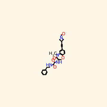 CN1C(=O)[C@@H](NC(=O)C(=O)NCCc2ccccc2)COc2ccc(C#CC3CN(C=O)C3)cc21